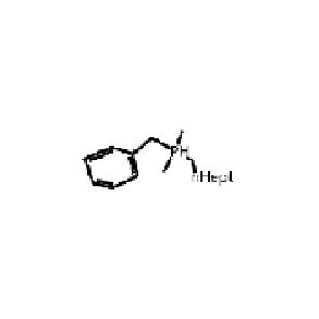 CCCCCCCC[PH](C)(C)Cc1ccccc1